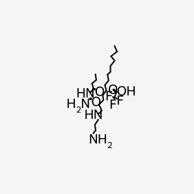 CCCC(=O)NC(N)=O.CCCCCCCCCCCCCCNCCCCN.O=C(O)C(F)(F)F